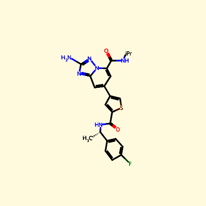 CC(C)NC(=O)c1cc(-c2csc(C(=O)N[C@@H](C)c3ccc(F)cc3)c2)cc2nc(N)nn12